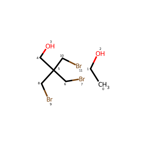 CCO.OCC(CBr)(CBr)CBr